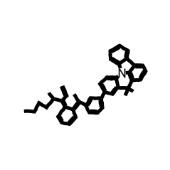 C=C/C(=c1/cccc/c1=C(/C)c1cccc(-c2ccc3c(c2)C(C)(C)c2cccc4c5ccccc5n-3c24)c1)C(C)CCCC